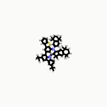 CC(C)(C)c1ccc2c(c1)c1cc(C(C)(C)C)cc3c1n2B1C2=C(c4cc5c(cc4C2(C)C)C(C)(C)CCC5(C)C)N(c2ccc4c(c2)C(C)(C)CCC4(C)C)c2c1c-3cc1c2sc2ccccc21